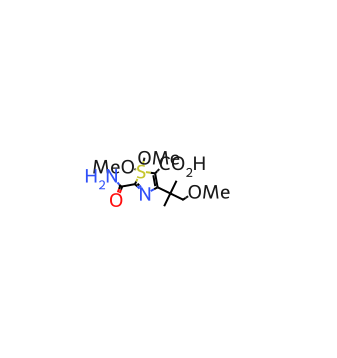 COCC(C)(C)C1=C(C(=O)O)S(OC)(OC)C(C(N)=O)=N1